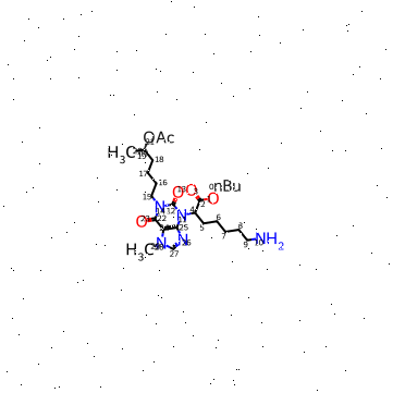 CCCCOC(=O)C(CCCCCN)n1c(=O)n(CCCC[C@@H](C)OC(C)=O)c(=O)c2c1ncn2C